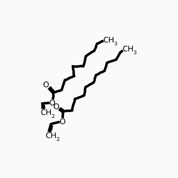 C=COC(=O)CCCCCCCCC.C=COC(=O)CCCCCCCCCCC